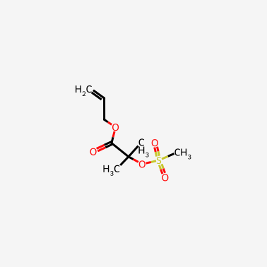 C=CCOC(=O)C(C)(C)OS(C)(=O)=O